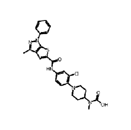 Cc1nn(-c2ccccc2)c2sc(C(=O)Nc3ccc(N4CCC(N(C)C(=O)O)CC4)c(Cl)c3)cc12